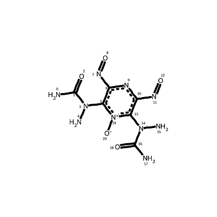 NC(=O)N(N)c1c(N=O)nc(N=O)c(N(N)C(N)=O)[n+]1[O-]